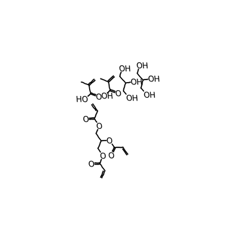 C=C(C)C(=O)O.C=C(C)C(=O)O.C=CC(=O)OCC(COC(=O)C=C)OC(=O)C=C.OCC(O)CO.OCC(O)CO